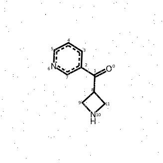 O=C(c1cccnc1)C1CNC1